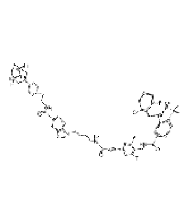 CC1(C)C(=O)N(Cc2c(F)cccc2Cl)c2cc(C(=O)NCc3c(F)cc(C#CC(=O)NCCCCn4ccc5cc(C(=O)NCCc6ccc(N7C[C@H]8CC[C@@H](C7)N8)cc6)cnc54)cc3F)ccc21